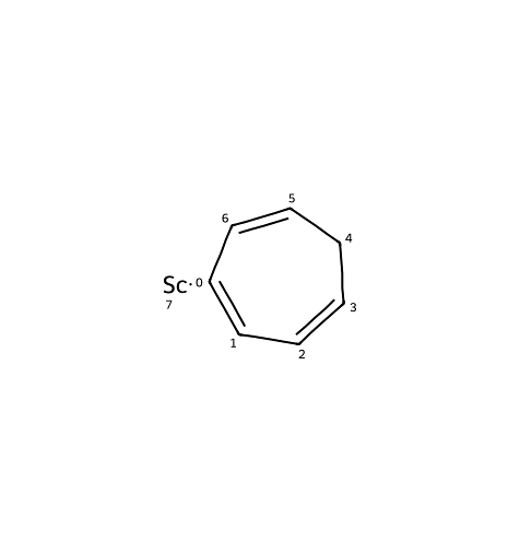 C1=CC=CCC=C1.[Sc]